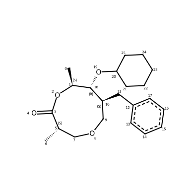 C[C@@H]1OC(=O)[C@@H](C)COC[C@H](Cc2ccccc2)[C@H]1OC1CCCCC1